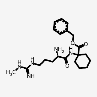 CNC(=N)NCCC[C@@H](N)C(=O)NC1(C(=O)OCc2ccccc2)CCCCC1